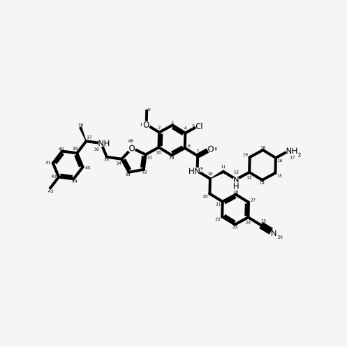 COc1cc(Cl)c(C(=O)N[C@@H](CNC2CCC(N)CC2)Cc2ccc(C#N)cc2)cc1-c1ccc(CN[C@H](C)c2ccc(C)cc2)o1